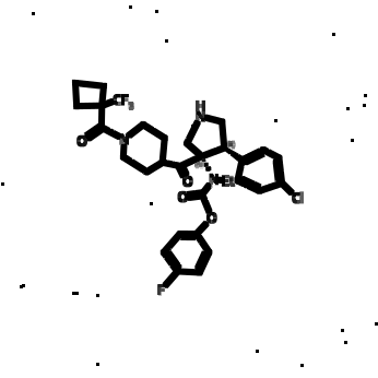 CCN(C(=O)Oc1ccc(F)cc1)[C@]1(C(=O)C2CCN(C(=O)C3(C(F)(F)F)CCC3)CC2)CNC[C@H]1c1ccc(Cl)cc1